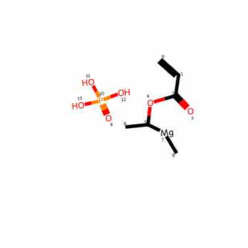 C=CC(=O)O[CH](C)[Mg][CH3].O=P(O)(O)O